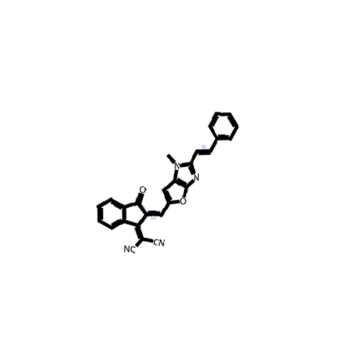 Cn1c(/C=C/c2ccccc2)nc2oc(/C=C3\C(=O)c4ccccc4C3=C(C#N)C#N)cc21